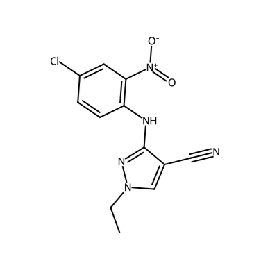 CCn1cc(C#N)c(Nc2ccc(Cl)cc2[N+](=O)[O-])n1